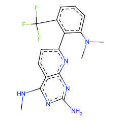 CNc1nc(N)nc2nc(-c3c(N(C)C)cccc3C(F)(F)F)ccc12